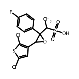 CC(C1(c2ccc(F)cc2)OC1c1cc(Cl)sc1Cl)S(=O)(=O)O